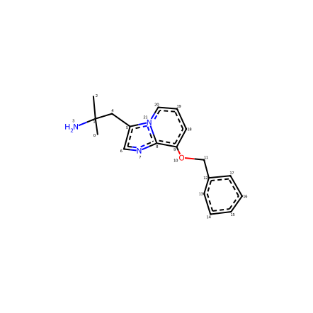 CC(C)(N)Cc1cnc2c(OCc3ccccc3)cccn12